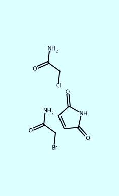 NC(=O)CBr.NC(=O)CCl.O=C1C=CC(=O)N1